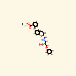 COC(=O)c1ccccc1Oc1ccc2c(c1)CC[C@H](CNC[C@H](O)COc1ccccc1)O2